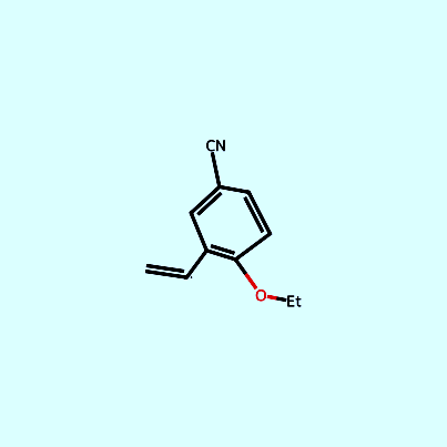 C=[C]c1cc(C#N)ccc1OCC